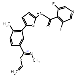 C=CS/C(=N\C)c1ccc(C)c(-c2ccc(NC(=O)c3c(F)cncc3F)s2)c1